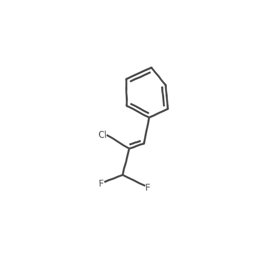 FC(F)C(Cl)=Cc1ccccc1